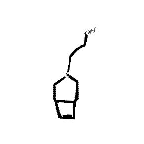 OCCN1CC2C=CC2C1